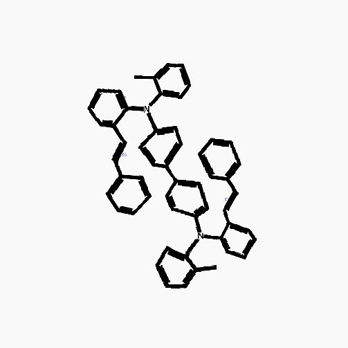 Cc1ccccc1N(c1ccc(-c2ccc(N(c3ccccc3C)c3ccccc3/C=C/c3ccccc3)cc2)cc1)c1ccccc1/C=C/c1ccccc1